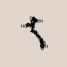 CCc1c(F)ccc2cc(O)cc(-c3ncc4c(N5CCC[C@@](C)(O)C5)nc(OCC5(CN6CCC(N7CC8(CN(c9ccc%10c(c9)CN(C9CCC(=O)NC9=O)C%10=O)C8)C7)CC6)CC5)nc4c3F)c12